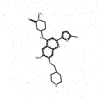 CCc1ccc(-c2cc(NC3CCN(C)C(=O)C3)c3cc(OC)c(OCC4CCNCC4)cc3n2)o1